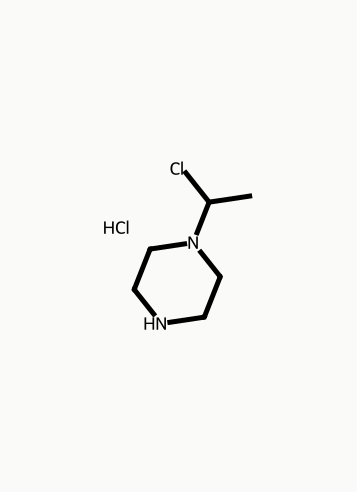 CC(Cl)N1CCNCC1.Cl